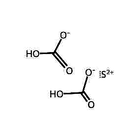 O=C([O-])O.O=C([O-])O.[S+2]